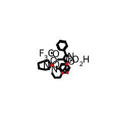 O=C(O)c1ccc2c(c1)N(C(=O)N1C3CCC1CC(OCc1c(-c4ccccc4OC(F)(F)F)noc1C1CC1)C3)CCC2